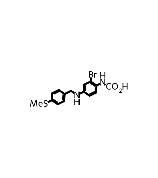 CSc1ccc(CNc2ccc(NC(=O)O)c(Br)c2)cc1